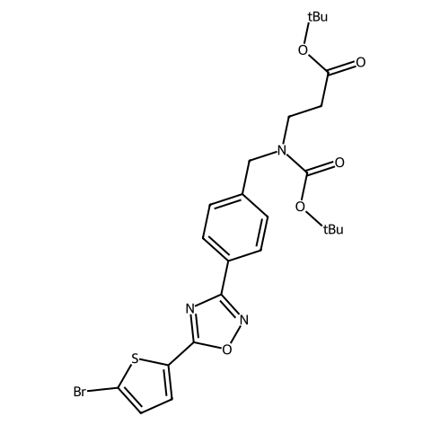 CC(C)(C)OC(=O)CCN(Cc1ccc(-c2noc(-c3ccc(Br)s3)n2)cc1)C(=O)OC(C)(C)C